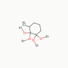 CCOC1(OCC)C(C)CCC[Si]1(OCC)OCC